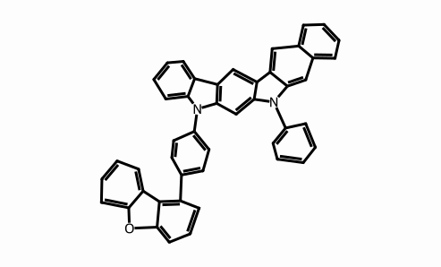 c1ccc(-n2c3cc4ccccc4cc3c3cc4c5ccccc5n(-c5ccc(-c6cccc7oc8ccccc8c67)cc5)c4cc32)cc1